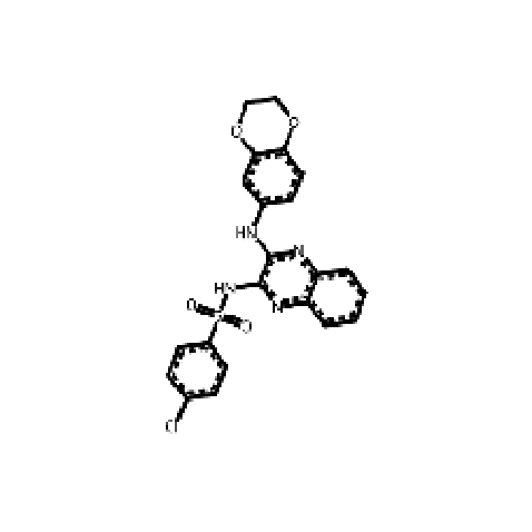 O=S(=O)(Nc1nc2ccccc2nc1Nc1ccc2c(c1)OCCO2)c1ccc(Cl)cc1